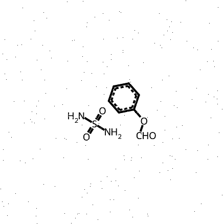 NS(N)(=O)=O.O=COc1ccccc1